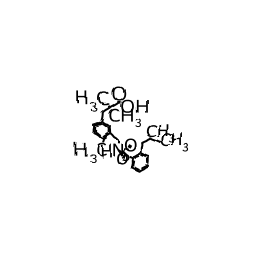 CCC(C)Cc1ccccc1S(=O)(=O)NCc1cc(CC(C)(C)C(=O)O)ccc1C